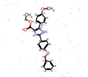 CCOC(=O)c1nc(-c2ccc(OCc3ccccc3)cc2)[nH]c1-c1ccc(OC)cc1